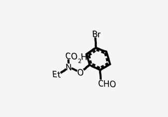 CCN(Oc1cc(Br)ccc1C=O)C(=O)O